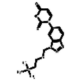 C[Si](C)(C)CCOCn1nnc2ccc(-n3ccc(=O)[nH]c3=O)cc21